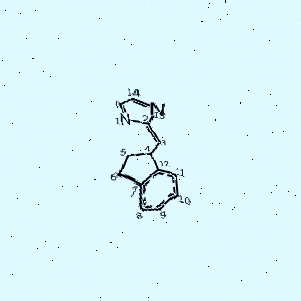 C1=NC(=CC2CCc3ccccc32)N=C1